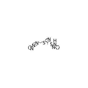 Cc1c(SCCCN2CCN(c3ccccn3)CC2)ccnc1CSc1nc2ccccc2[nH]1